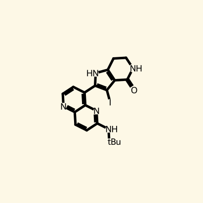 CC(C)(C)Nc1ccc2nccc(-c3[nH]c4c(c3I)C(=O)NCC4)c2n1